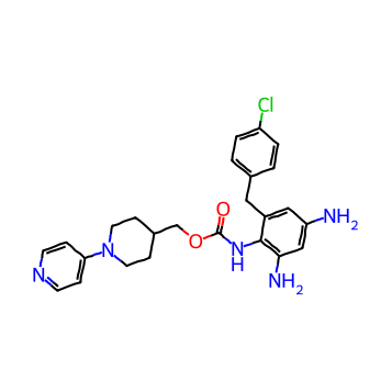 Nc1cc(N)c(NC(=O)OCC2CCN(c3ccncc3)CC2)c(Cc2ccc(Cl)cc2)c1